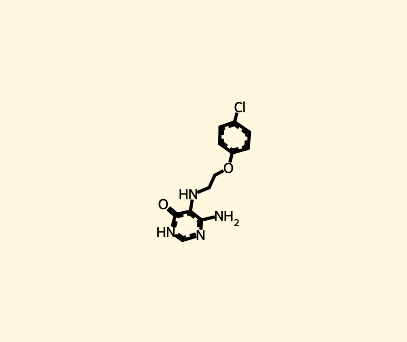 Nc1nc[nH]c(=O)c1NCCOc1ccc(Cl)cc1